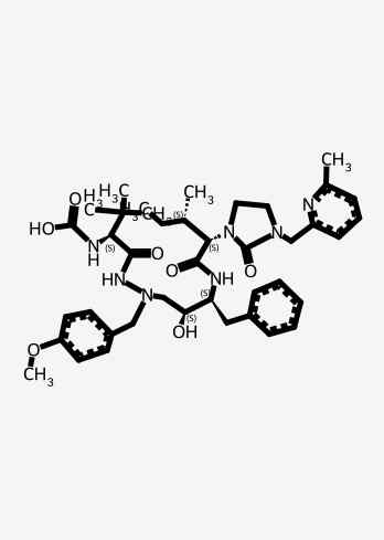 CC[C@H](C)[C@@H](C(=O)N[C@@H](Cc1ccccc1)[C@@H](O)CN(Cc1ccc(OC)cc1)NC(=O)[C@@H](NC(=O)O)C(C)(C)C)N1CCN(Cc2cccc(C)n2)C1=O